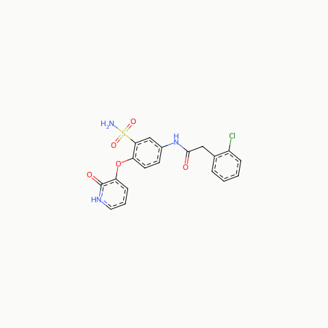 NS(=O)(=O)c1cc(NC(=O)Cc2ccccc2Cl)ccc1Oc1ccc[nH]c1=O